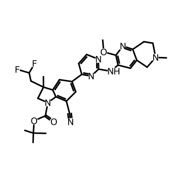 COc1nc2c(cc1Nc1nccc(-c3cc(C#N)c4c(c3)C(C)(CC(F)F)CN4C(=O)OC(C)(C)C)n1)CN(C)CC2